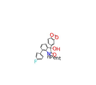 CCCCCN1C(=O)C(O)(c2ccc3c(c2)OCO3)c2cccc(-c3ccc(F)cc3)c21